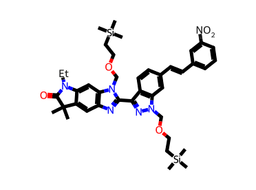 CCN1C(=O)C(C)(C)c2cc3nc(-c4nn(COCC[Si](C)(C)C)c5cc(C=Cc6cccc([N+](=O)[O-])c6)ccc45)n(COCC[Si](C)(C)C)c3cc21